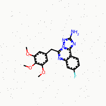 COc1cc(Cc2nc3cc(F)ccc3c3nc(N)nn23)cc(OC)c1OC